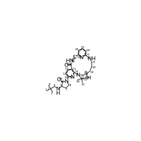 CC(C)(C)CNC1CCN(c2ccc3c(n2)N2C[C@@H](CCCNc4cccc(n4)SNC3=O)CC2(C)C)C1=O